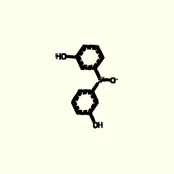 [O-][S+](c1cccc(O)c1)c1cccc(O)c1